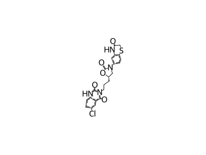 O=C1CSc2ccc(N3C[C@@H](CCCn4c(=O)[nH]c5ccc(Cl)cc5c4=O)OC3=O)cc2N1